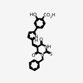 O=C1NC(=S)N(Cc2ccccc2)C(=O)C1=Cc1ccc(-c2ccc(C(=O)O)c(O)c2)[nH]1